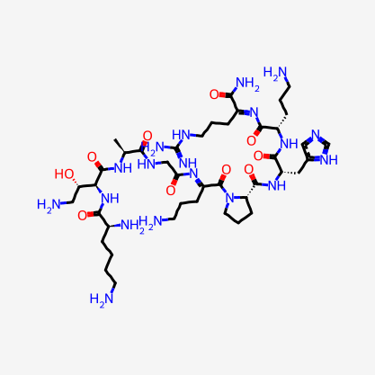 C[C@H](NC(=O)[C@@H](NC(=O)[C@@H](N)CCCCN)[C@@H](O)CN)C(=O)NCC(=O)/N=C(\CCCN)C(=O)N1CCC[C@H]1C(=O)N[C@@H](Cc1cnc[nH]1)C(=O)N[C@@H](CCCN)C(=O)/N=C(\CCCNC(=N)N)C(N)=O